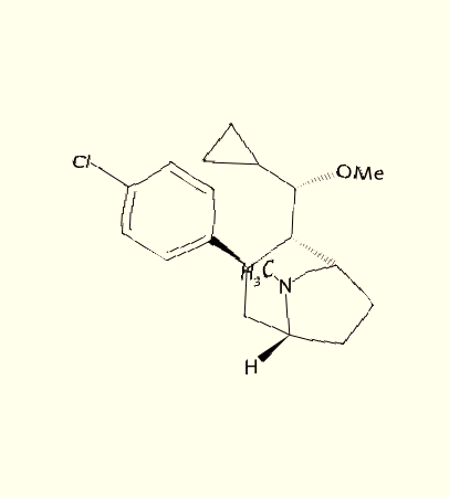 CO[C@@H](C1CC1)[C@@H]1C2CC[C@H](C[C@H]1c1ccc(Cl)cc1)N2C